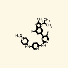 Cc1nc2c(F)cc(-c3nc(Nc4ccc(NC5CCN(C)CC5)cn4)ncc3F)cc2n1C(C)C